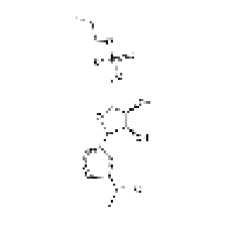 CCCOP(=O)([O-])OC[C@H]1OC([n+]2cccc(C(C)=O)c2)[C@H](O)[C@@H]1O